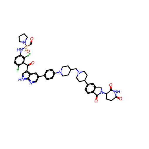 O=C[SH](=O)(Nc1ccc(F)c(C(=O)c2c[nH]c3ncc(-c4ccc(N5CCC(CN6CCC(c7ccc8c(c7)CN(C7CCC(=O)NC7=O)C8=O)CC6)CC5)cc4)cc23)c1F)N1CCCC1